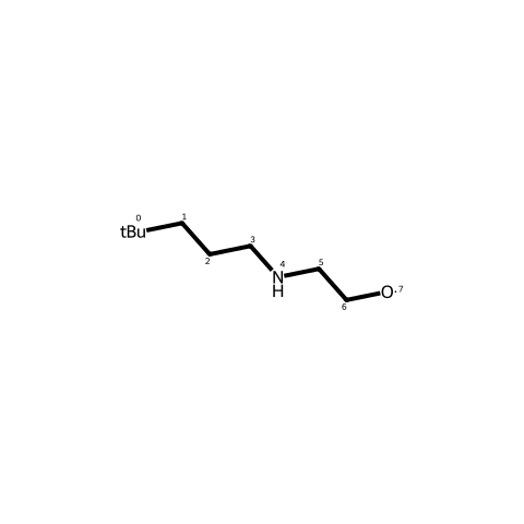 CC(C)(C)CCCNCC[O]